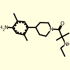 CCNC(C)(C)C(=O)N1CCC(c2cc(C)c(N)cc2C)CC1